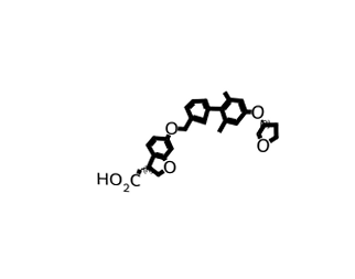 Cc1cc(O[C@@H]2CCOC2)cc(C)c1-c1cccc(COc2ccc3c(c2)OC[C@@H]3CC(=O)O)c1